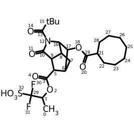 CC(OC(=O)C1C2CC3C1C(=O)N(C(=O)C(C)(C)C)C3C2OC(=O)C1CCCCCCC1)C(F)(F)S(=O)(=O)O